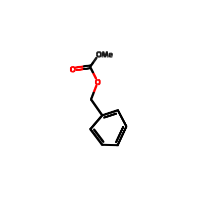 [CH2]OC(=O)OCc1ccccc1